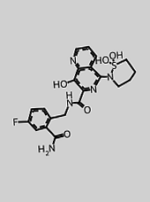 NC(=O)c1cc(F)ccc1CNC(=O)c1nc(N2CCCCS2(O)O)c2cccnc2c1O